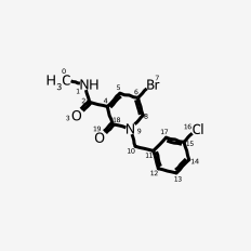 CNC(=O)c1cc(Br)cn(Cc2cccc(Cl)c2)c1=O